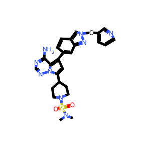 CN(C)S(=O)(=O)N1CCC(c2cc(-c3ccc4cn(Cc5cccnc5)nc4c3)c3c(N)ncnn23)CC1